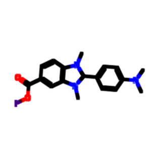 CN(C)c1ccc(C2N(C)c3ccc(C(=O)OI)cc3N2C)cc1